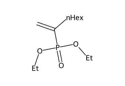 C=C(CCCCCC)P(=O)(OCC)OCC